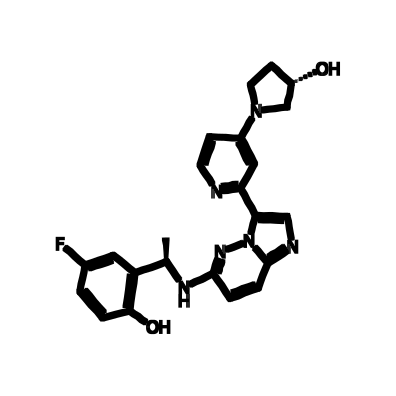 C[C@@H](Nc1ccc2ncc(-c3cc(N4CC[C@H](O)C4)ccn3)n2n1)c1cc(F)ccc1O